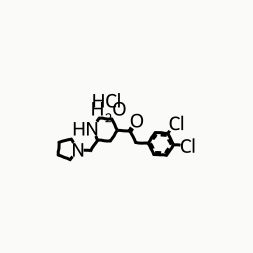 Cl.O.O=C(Cc1ccc(Cl)c(Cl)c1)C1CCNC(CN2CCCC2)C1